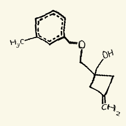 C=C1CC(O)(COc2cccc(C)c2)C1